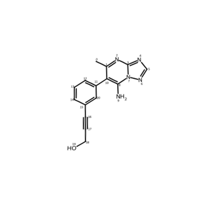 Cc1nc2ncnn2c(N)c1-c1cccc(C#CCO)c1